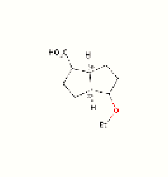 CCOC1CC[C@@H]2C(C(=O)O)CC[C@H]12